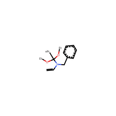 C=CN(Cc1ccccc1)C(CCC)(OCC)OCC